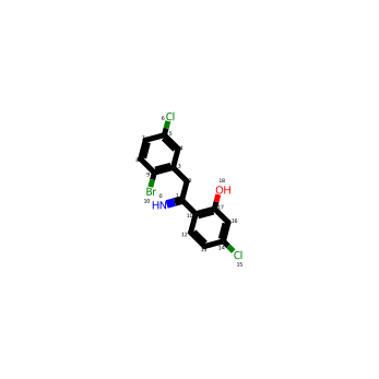 N=C(Cc1cc(Cl)ccc1Br)c1ccc(Cl)cc1O